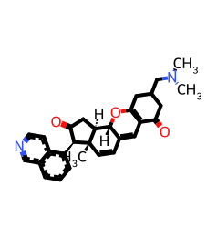 CN(C)CC1CC(=O)C2=C(C1)O[C@@H]1C(=C2)C=C[C@]2(C)[C@@H](c3cccc4cnccc34)C(=O)C[C@@H]12